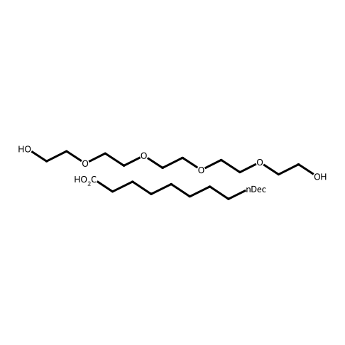 CCCCCCCCCCCCCCCCCC(=O)O.OCCOCCOCCOCCOCCO